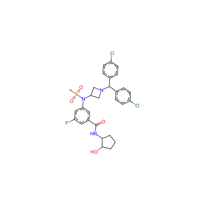 CS(=O)(=O)N(c1cc(F)cc(C(=O)NC2CCCC2O)c1)C1CN(C(c2ccc(Cl)cc2)c2ccc(Cl)cc2)C1